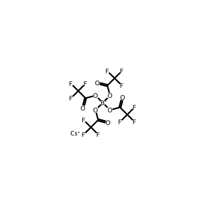 O=C(O[B-](OC(=O)C(F)(F)F)(OC(=O)C(F)(F)F)OC(=O)C(F)(F)F)C(F)(F)F.[Cs+]